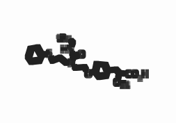 CCOC(Cc1ccc(OCCN(CCCSc2ccccc2)C(=O)NCC(C)(C)C)cc1)C(=O)O